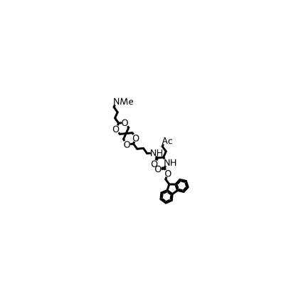 CNCCCC1OCC2(CO1)COC(CCCNC(=O)C(CCC(C)=O)NC(=O)OCC1c3ccccc3-c3ccccc31)OC2